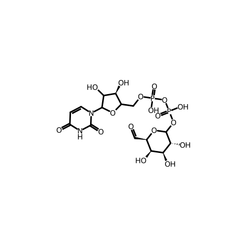 O=C[C@H]1OC(OP(=O)(O)OP(=O)(O)OCC2OC(n3ccc(=O)[nH]c3=O)C(O)[C@H]2O)[C@H](O)[C@@H](O)[C@H]1O